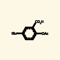 CC(=O)Oc1ccc(C(C)(C)C)cc1C(=O)O